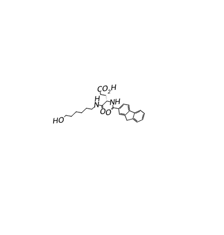 O=C(O)CC[C@H](NC(=O)c1ccc2c(c1)Cc1ccccc1-2)C(=O)NCCCCCCO